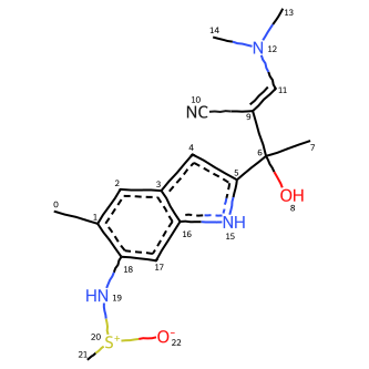 Cc1cc2cc(C(C)(O)/C(C#N)=C/N(C)C)[nH]c2cc1N[S+](C)[O-]